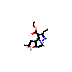 CCOC(=O)c1c(CC)nn2ccc3oc(C)cc3c12